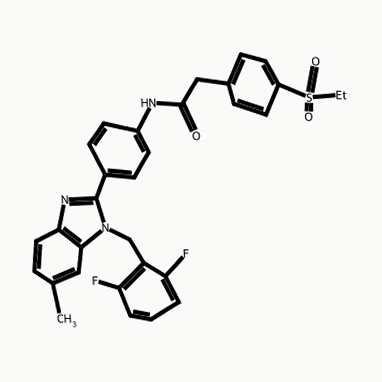 CCS(=O)(=O)c1ccc(CC(=O)Nc2ccc(-c3nc4ccc(C)cc4n3Cc3c(F)cccc3F)cc2)cc1